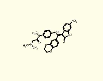 CN(C)CC(=O)N(C)c1ccc(NC(=C2C(=O)Nc3cc([N+](=O)[O-])ccc32)c2ccc3c(c2)OCCO3)cc1